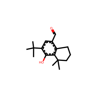 CC(C)(C)c1cc(C=O)c2c(c1O)C(C)(C)CCC2